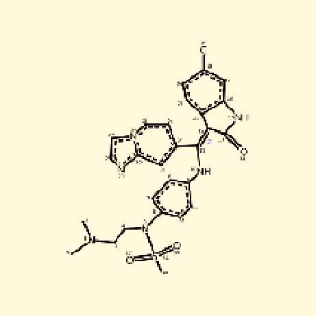 CN(C)CCN(c1ccc(N/C(=C2\C(=O)Nc3cc(Cl)ccc32)c2ccn3ccnc3c2)cc1)S(C)(=O)=O